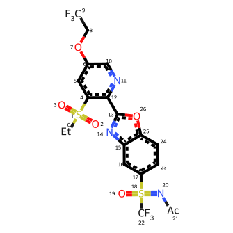 CCS(=O)(=O)c1cc(OCC(F)(F)F)cnc1-c1nc2cc(S(=O)(=NC(C)=O)C(F)(F)F)ccc2o1